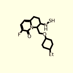 CCC1CCC(OCC2C(NS)CCc3ccc(F)c(=O)n32)CC1